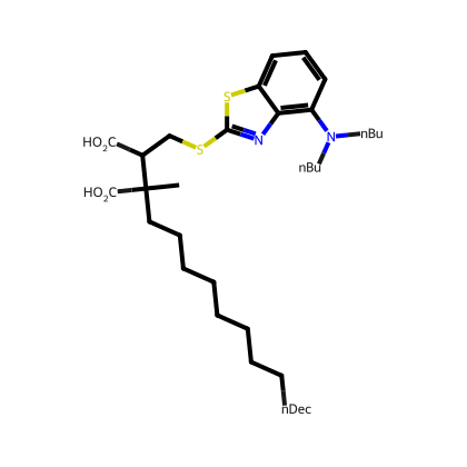 CCCCCCCCCCCCCCCCCCC(C)(C(=O)O)C(CSc1nc2c(N(CCCC)CCCC)cccc2s1)C(=O)O